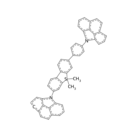 C[Si]1(C)c2cc(-c3ccc(-n4c5cccc6ccc7cccc4c7c65)cc3)ccc2-c2ccc(-n3c4cccc5ccc6cccc3c6c54)cc21